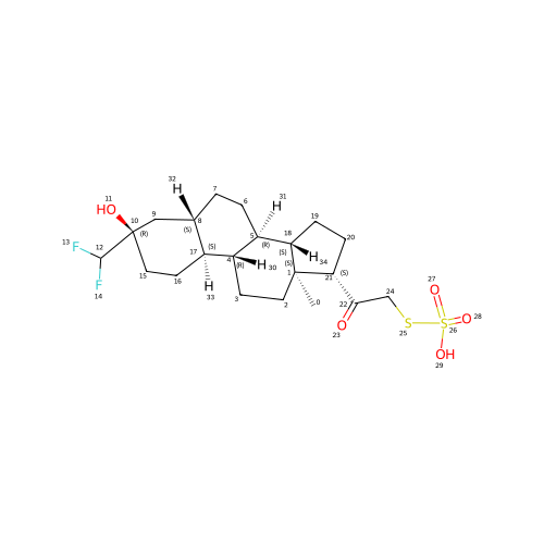 C[C@]12CC[C@H]3[C@@H](CC[C@H]4C[C@@](O)(C(F)F)CC[C@@H]43)[C@@H]1CC[C@@H]2C(=O)CSS(=O)(=O)O